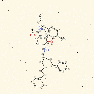 C=CCN1CC[C@]23c4c5ccc(OC(C)=O)c4OC2C(NCC(CCCCc2ccccc2)CCc2ccccc2)CC[C@@]3(O)[C@H]1C5